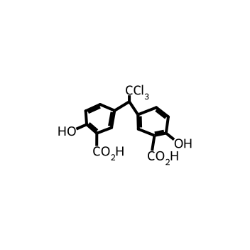 O=C(O)c1cc(C(c2ccc(O)c(C(=O)O)c2)C(Cl)(Cl)Cl)ccc1O